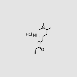 C=CC(=O)OCCCC(C)N(C)C.Cl.N